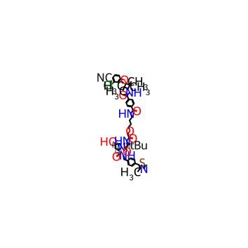 Cc1ncsc1-c1ccc(CNC(=O)[C@@H]2C[C@@H](O)CN2C(=O)[C@@H](NC(=O)COCCCCNC(=O)c2ccc(C(=O)N[C@H]3C(C)(C)[C@H](Oc4ccc(C#N)c(Cl)c4)C3(C)C)cc2)C(C)(C)C)cc1